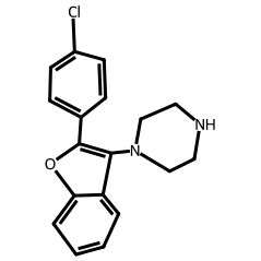 Clc1ccc(-c2oc3ccccc3c2N2CCNCC2)cc1